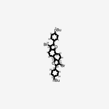 CCCCc1ccc(-c2oc3c(ccc4c3ccc3c(Br)c(-c5ccc(CCCC)cc5)oc34)c2Br)cc1